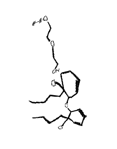 CCCCC1(Cl)C=CC=CC1OC1C=CC=CC1(Cl)CCCC.OCCOCCO